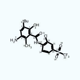 Cc1c(N)cc(C(C)(C)C)c(O)c1C(=O)Nc1ccc(S(=O)(=O)C(F)(F)F)cc1Cl